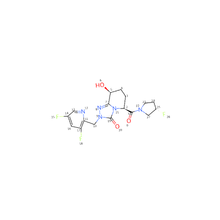 O=C([C@@H]1CC[C@H](O)c2nn(Cc3ncc(F)cc3F)c(=O)n21)N1CC[C@H](F)C1